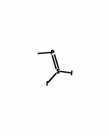 CP=S(I)I